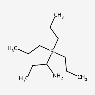 CCC[Si](CCC)(CCC)C(N)CC